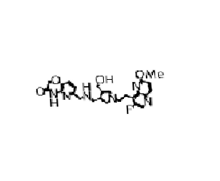 COc1ccc2ncc(F)c(CCN3C[C@@H](CNCc4ccc5c(n4)NC(=O)CO5)[C@@H](CO)C3)c2n1